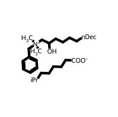 CC(C)CCCCCC(=O)[O-].CCCCCCCCCCCCCCC(O)C[N+](C)(C)Cc1ccccc1